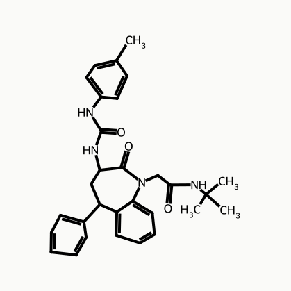 Cc1ccc(NC(=O)NC2CC(c3ccccc3)c3ccccc3N(CC(=O)NC(C)(C)C)C2=O)cc1